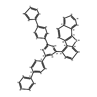 c1ccc(-c2ccc(-c3nc(-c4ccc(-c5ccccc5)cc4)nc(-c4cccc5sc6c7ccccc7ccc6c45)n3)cc2)cc1